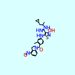 Cc1cc(Nc2snc(O)c2C(=N)NC(C)CC2CC2)ccc1C(=O)N1CCc2c(N=O)cccc21